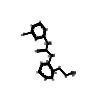 O=C(Nc1cccc(F)c1)Nc1ccccc1CCO